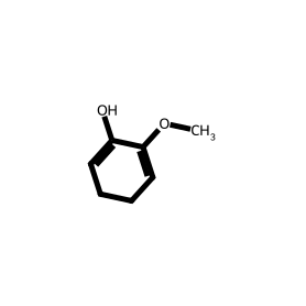 COC1=CCCC=C1O